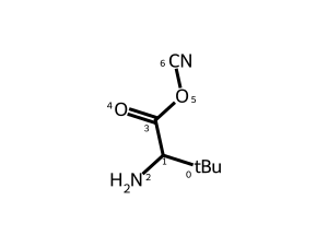 CC(C)(C)C(N)C(=O)OC#N